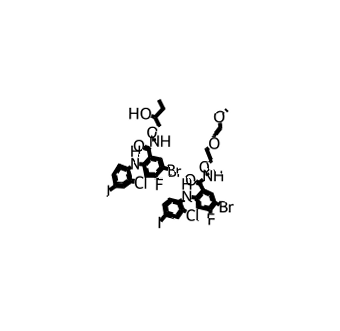 CCC(O)CONC(=O)c1cc(Br)c(F)cc1Nc1ccc(I)cc1Cl.COCCOCCONC(=O)c1cc(Br)c(F)cc1Nc1ccc(I)cc1Cl